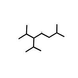 CC(C)C[CH]C(C(C)C)C(C)C